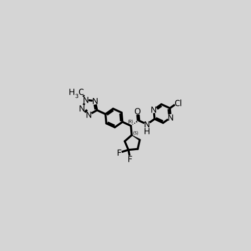 Cn1nnc(-c2ccc([C@H](C(=O)Nc3cnc(Cl)cn3)[C@H]3CCC(F)(F)C3)cc2)n1